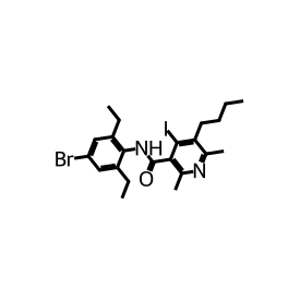 CCCCc1c(C)nc(C)c(C(=O)Nc2c(CC)cc(Br)cc2CC)c1I